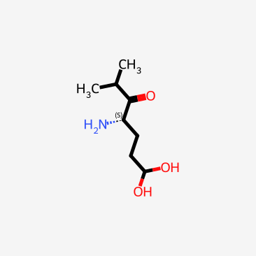 CC(C)C(=O)[C@@H](N)CCC(O)O